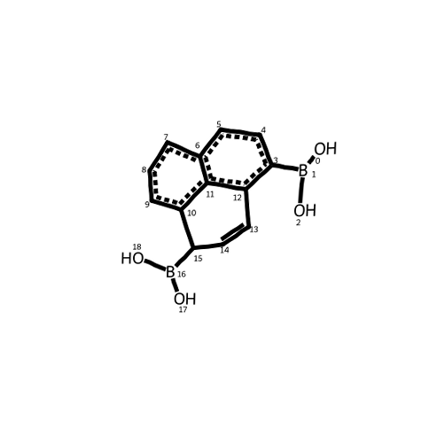 OB(O)c1ccc2cccc3c2c1C=CC3B(O)O